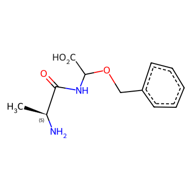 C[C@H](N)C(=O)NC(OCc1ccccc1)C(=O)O